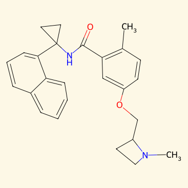 Cc1ccc(OCC2CCN2C)cc1C(=O)NC1(c2cccc3ccccc23)CC1